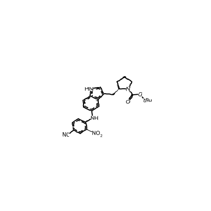 CC(C)(C)OC(=O)N1CCC[C@@H]1Cc1c[nH]c2ccc(Nc3ccc(C#N)cc3[N+](=O)[O-])cc12